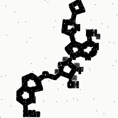 CNc1ccc2ccc(OC[C@H]3O[C@@H](n4cc(-c5ccn(C6CCC6)n5)c5c(N)ncnc54)[C@@H](F)[C@@H]3O)cc2n1